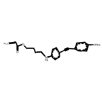 C=CC(=O)OCCCCNc1ccc(C#Cc2ccc(CCCCCC)cc2)cc1